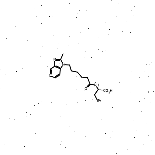 Cc1nc2cnccc2n1CCCCCC(=O)N[C@@H](CC(C)C)C(=O)O